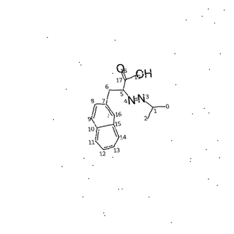 CC(C)N=NC(Cc1ccc2ccccc2c1)C(=O)O